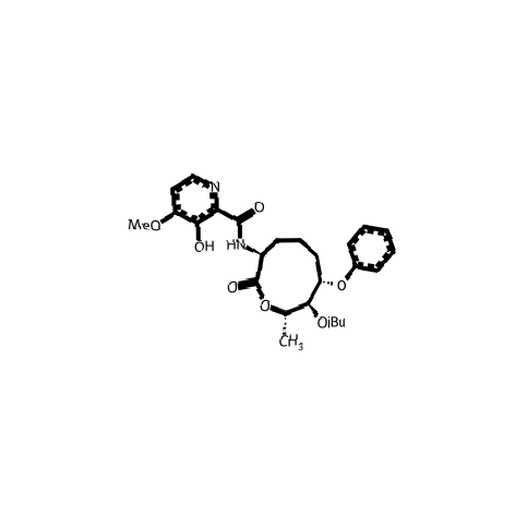 COc1ccnc(C(=O)N[C@H]2CCC[C@H](Oc3ccccc3)[C@@H](OCC(C)C)[C@H](C)OC2=O)c1O